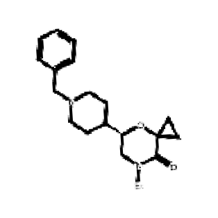 CCN1C[C@@H](C2CCN(Cc3ccccc3)CC2)OC2(CC2)C1=O